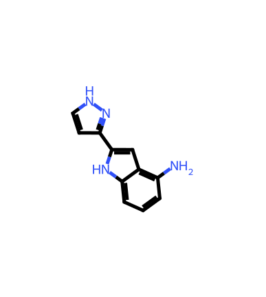 Nc1cccc2[nH]c(-c3cc[nH]n3)cc12